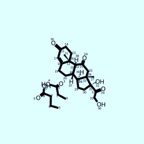 CCC(=O)O.CCCC(=O)O.C[C@]12CCC(=O)C=C1CC[C@@H]1[C@@H]2C(=O)C[C@@]2(C)[C@H]1CC[C@]2(O)C(=O)CO